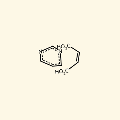 O=C(O)/C=C\C(=O)O.c1cncnc1